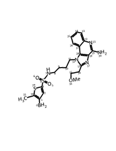 Bc1cc(S(=O)(=O)NCCCCn2c(CCOC)nc3c(N)nc4ccccc4c32)sc1C